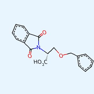 O=C(O)[C@@H](COCc1ccccc1)N1C(=O)c2ccccc2C1=O